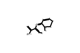 C=C(C(=C/C)/N=C1/C=CCCC1C)C(C)C